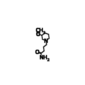 COC1CCCN(CCCC(N)=O)C1